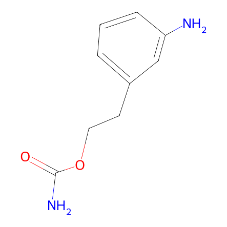 NC(=O)OCCc1cccc(N)c1